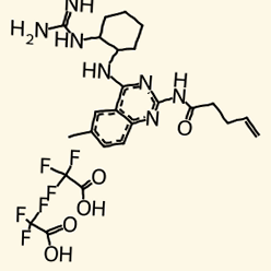 C=CCCC(=O)Nc1nc(NC2CCCCC2NC(=N)N)c2cc(C)ccc2n1.O=C(O)C(F)(F)F.O=C(O)C(F)(F)F